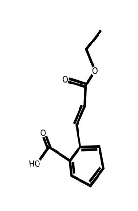 CCOC(=O)C=Cc1ccccc1C(=O)O